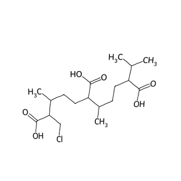 CC(C)C(CCC(C)C(CCC(C)C(CCl)C(=O)O)C(=O)O)C(=O)O